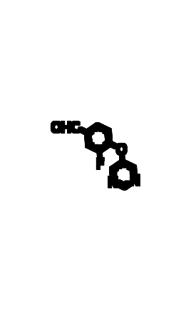 O=Cc1ccc(Oc2cncnc2)c(F)c1